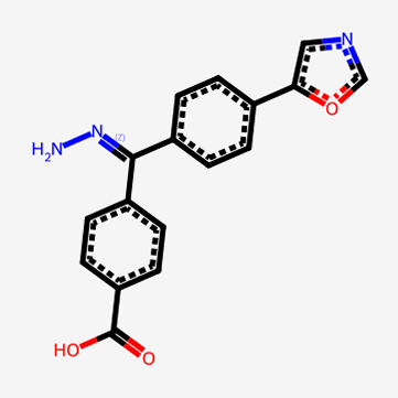 N/N=C(\c1ccc(C(=O)O)cc1)c1ccc(-c2cnco2)cc1